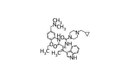 CCOc1ccc(CN(C)C)cc1NC(=O)[C@H](NC(=O)N1CCN(CC2CC2)CC1)[C@@H](C)c1c[nH]c2ccccc12